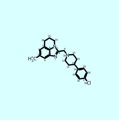 Cc1cc2c3c(c1)nc(CN1CCC(c4ccc(Cl)cc4)CC1)n3CCC2